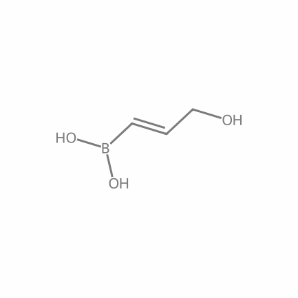 OCC=CB(O)O